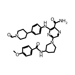 COc1ccc(C(=O)NC2CCCN(c3cnc(C(N)=O)c(Nc4ccc(C5CCN(C=O)CC5)cc4)n3)C2)cc1